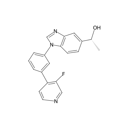 C[C@@H](O)c1ccc2c(c1)ncn2-c1cccc(-c2ccncc2F)c1